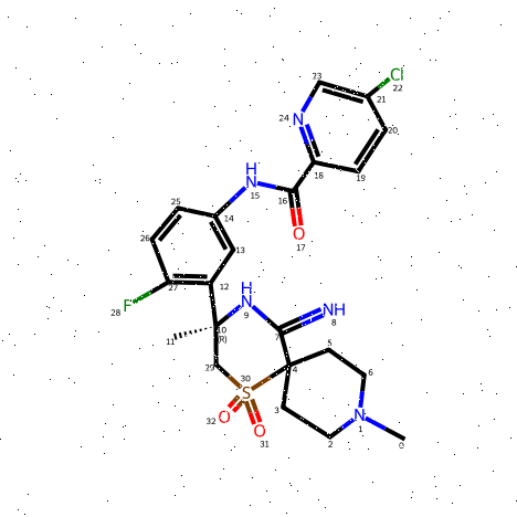 CN1CCC2(CC1)C(=N)N[C@](C)(c1cc(NC(=O)c3ccc(Cl)cn3)ccc1F)CS2(=O)=O